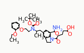 CCOc1ccccc1OCCN(C(=O)OC(C)(C)C)C(C)Cc1cc2c(c(C(N)=O)c1)N(C(=O)CCCC(=O)O)CC2